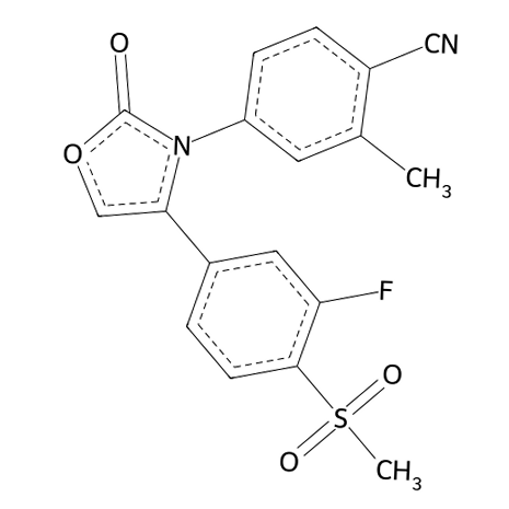 Cc1cc(-n2c(-c3ccc(S(C)(=O)=O)c(F)c3)coc2=O)ccc1C#N